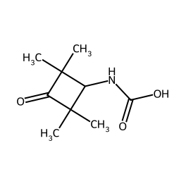 CC1(C)C(=O)C(C)(C)C1NC(=O)O